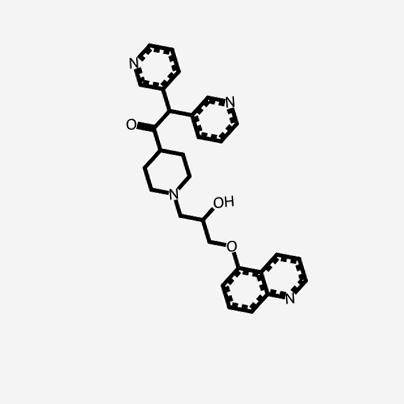 O=C(C1CCN(CC(O)COc2cccc3ncccc23)CC1)C(c1cccnc1)c1cccnc1